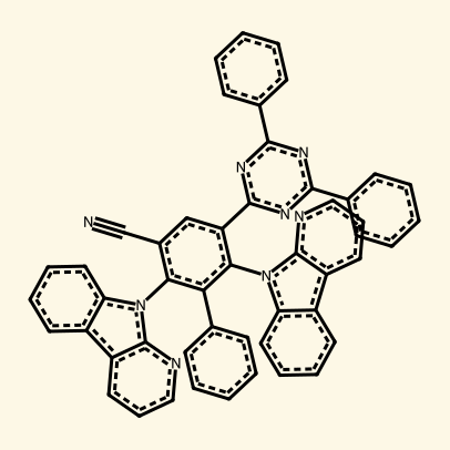 N#Cc1cc(-c2nc(-c3ccccc3)nc(-c3ccccc3)n2)c(-n2c3ccccc3c3cccnc32)c(-c2ccccc2)c1-n1c2ccccc2c2cccnc21